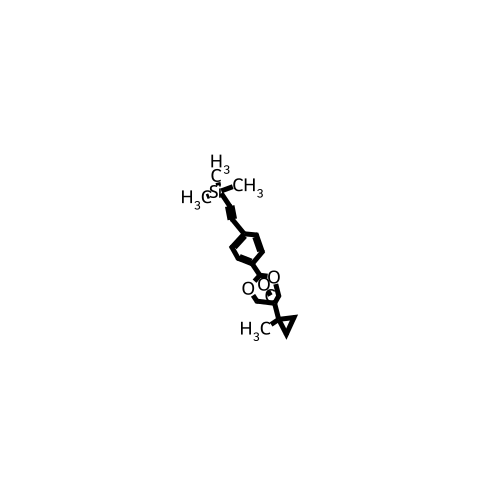 CC1(C23COC(c4ccc(C#C[Si](C)(C)C)cc4)(OC2)OC3)CC1